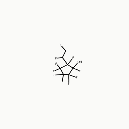 CC1(F)C(F)(F)C(O)(F)C(F)(C(F)CF)C1(F)F